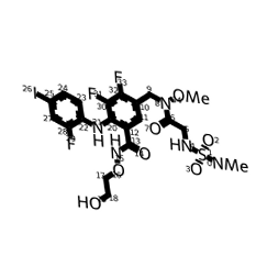 CNS(=O)(=O)NCC(=O)N(Cc1cc(C(=O)NOCCO)c(Nc2ccc(I)cc2F)c(F)c1F)OC